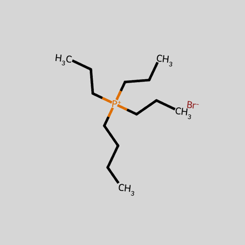 CCCC[P+](CCC)(CCC)CCC.[Br-]